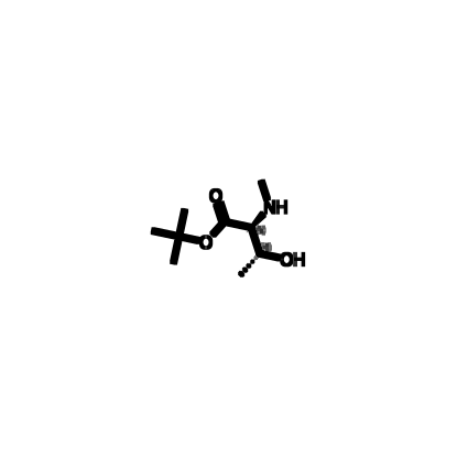 CN[C@H](C(=O)OC(C)(C)C)[C@@H](C)O